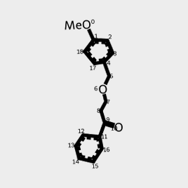 COc1ccc(COCCC(=O)c2ccccc2)cc1